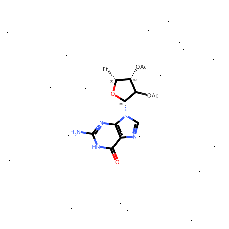 CC[C@H]1O[C@@H](n2cnc3c(=O)[nH]c(N)nc32)C(OC(C)=O)[C@H]1OC(C)=O